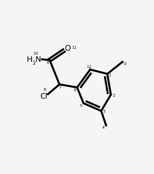 Cc1cc(C)cc(C(Cl)C(N)=O)c1